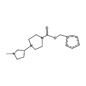 CN1CCC(N2CCN(C(=O)OCc3ccccc3)CC2)C1